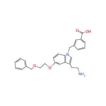 NCCc1cn(Cc2cccc(C(=O)O)c2)c2ccc(OCCOCc3ccccc3)cc12